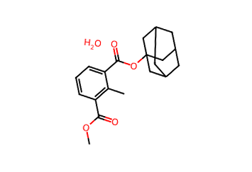 COC(=O)c1cccc(C(=O)OC23CC4CC(CC(C4)C2)C3)c1C.O